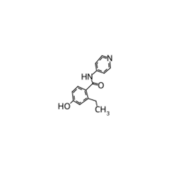 CCc1cc(O)ccc1C(=O)Nc1ccncc1